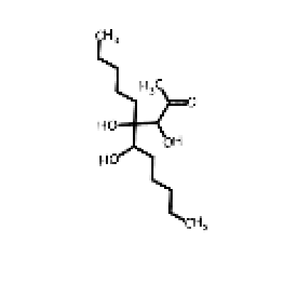 CCCCCC(O)C(O)(CCCCC)C(O)C(C)=O